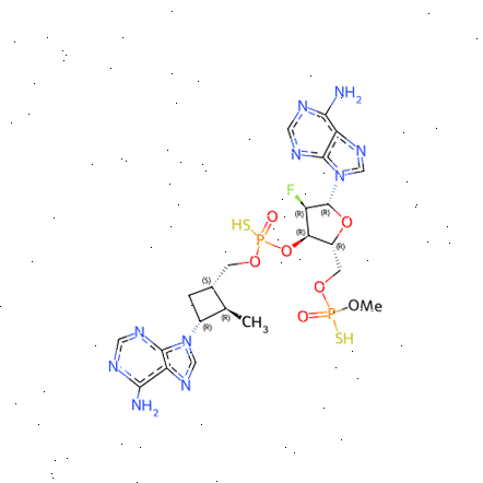 COP(=O)(S)OC[C@H]1O[C@@H](n2cnc3c(N)ncnc32)[C@H](F)[C@@H]1OP(=O)(S)OC[C@H]1C[C@@H](n2cnc3c(N)ncnc32)[C@@H]1C